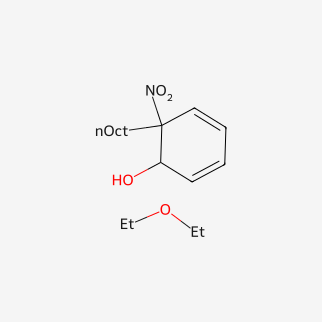 CCCCCCCCC1([N+](=O)[O-])C=CC=CC1O.CCOCC